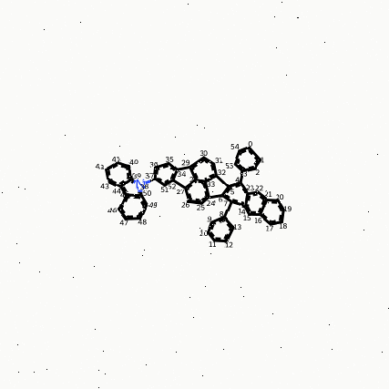 c1ccc(-c2c3c(c(-c4ccccc4)c4cc5ccccc5cc24)-c2ccc4c5c(ccc-3c25)-c2ccc(-n3c5ccccc5c5ccccc53)cc2-4)cc1